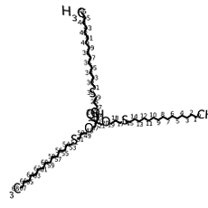 CCCCCCCCCCCCCCCCSCCCOCC(CO)(COCCCSCCCCCCCCCCCCCCCC)COCCCSCCCCCCCCCCCCCCCC